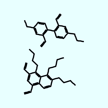 C=Cc1cc(C=C)c2ccc(CCCC)c(CCCC)c2c1CCCC.C=Cc1cc(CC)ccc1-c1ccc(CCC)cc1C=C